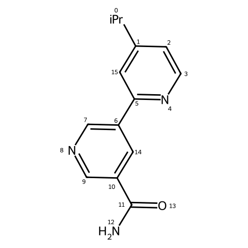 CC(C)c1ccnc(-c2cncc(C(N)=O)c2)c1